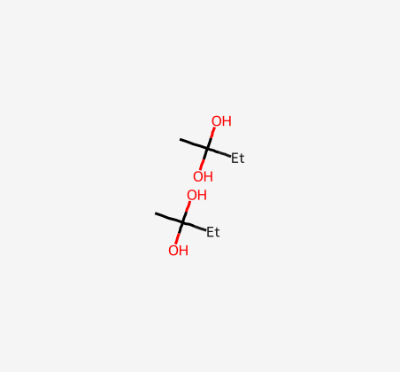 CCC(C)(O)O.CCC(C)(O)O